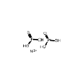 O=[P-](O)O.O=[P-](O)O.[Ni+2]